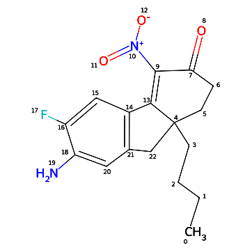 CCCCC12CCC(=O)C([N+](=O)[O-])=C1c1cc(F)c(N)cc1C2